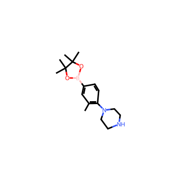 Cc1cc(B2OC(C)(C)C(C)(C)O2)ccc1N1CCNCC1